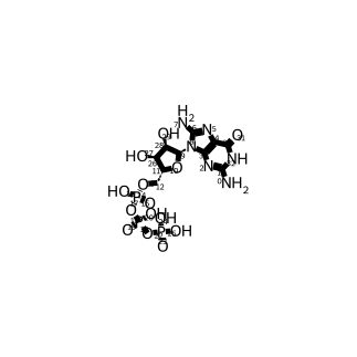 Nc1nc2c(nc(N)n2[C@@H]2O[C@H](COP(=O)(O)OP(=O)(O)OP(=O)(O)O)[C@@H](O)[C@H]2O)c(=O)[nH]1